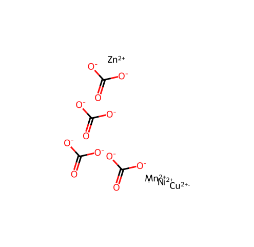 O=C([O-])[O-].O=C([O-])[O-].O=C([O-])[O-].O=C([O-])[O-].[Cu+2].[Mn+2].[Ni+2].[Zn+2]